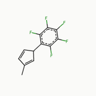 CC1=C[C](c2c(F)c(F)c(F)c(F)c2F)C=C1